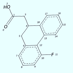 O=C(O)CC1Cc2cccc(F)c2-c2ccccc21